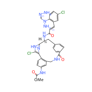 COC(=O)Nc1ccc2c(c1)CNC(=O)c1ccc(cc1)C[C@H](NC(=O)/C=C/c1cc(Cl)ccc1N(N)/C=N\N)c1nc-2c(Cl)[nH]1